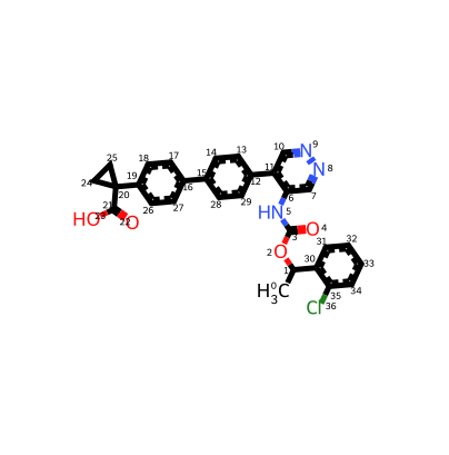 CC(OC(=O)Nc1cnncc1-c1ccc(-c2ccc(C3(C(=O)O)CC3)cc2)cc1)c1ccccc1Cl